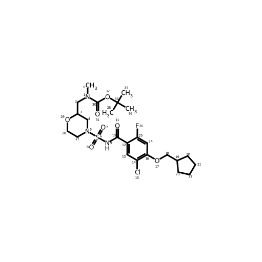 CN(CC1CN(S(=O)(=O)NC(=O)c2cc(Cl)c(OCC3CCCC3)cc2F)CCO1)C(=O)OC(C)(C)C